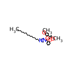 CCCCCCCCCCCCCCCCN1CCN(C(OC(=O)[C@@]2(c3ccc(OC)cc3)C[C@H]2OC)c2ccccc2)CC1